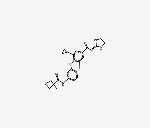 CC1(C(=N)Nc2cccc(Nc3c(F)cc(C(=O)N=C4NCCN4)cc3C3CC3)c2)COC1